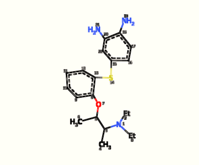 CCN(CC)C(C)C(C)Oc1ccccc1Sc1ccc(N)c(N)c1